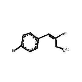 CCCC(=Cc1ccc(CC)cc1)COC(C)=O